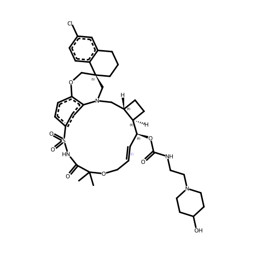 CC1(C)OC/C=C/[C@H](OC(=O)NCCN2CCC(O)CC2)[C@@H]2CC[C@H]2CN2C[C@@]3(CCCc4cc(Cl)ccc43)COc3ccc(cc32)S(=O)(=O)NC1=O